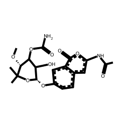 CO[C@@H]1C(OC(N)=O)C(O)[C@H](Oc2ccc3cc(NC(C)=O)oc(=O)c3c2)OC1(C)C